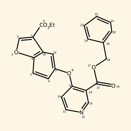 CCOC(=O)c1coc2ccc(Oc3ccncc3C(=O)OCc3ccccc3)cc12